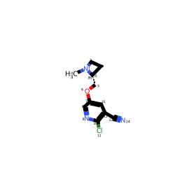 CN1CC[C@@H]1COc1cnc(Cl)c(C#N)c1